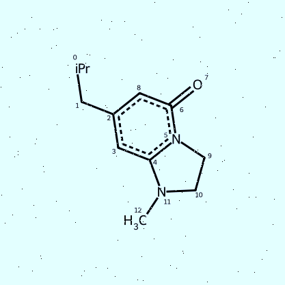 CC(C)Cc1cc2n(c(=O)c1)CCN2C